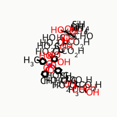 CC(O)CO.Cc1ccc(OP(=O)(Oc2ccc(C)cc2)Oc2ccc(C)cc2)cc1.O=C(O)CC(O)(CC(=O)O)C(=O)O.O=C(O)CC(O)(CC(=O)O)C(=O)O.O=C(O)CC(O)(CC(=O)O)C(=O)O.O=C(O)CC(O)(CC(=O)O)C(=O)O.O=C[C@H](O)[C@@H](O)[C@H](O)[C@H](O)CO.Oc1ccc(O)cc1.[SiH4].[SiH4].[SiH4]